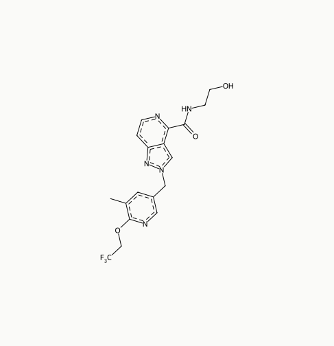 Cc1cc(Cn2cc3c(C(=O)NCCO)nccc3n2)cnc1OCC(F)(F)F